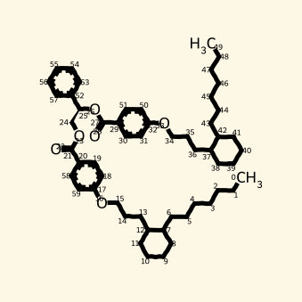 CCCCCCCC1CCCCC1CCCOc1ccc(C(=O)OC[C@H](OC(=O)c2ccc(OCCCC3CCCCC3CCCCCCC)cc2)c2ccccc2)cc1